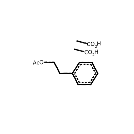 CC(=O)O.CC(=O)O.CC(=O)OCCc1ccccc1